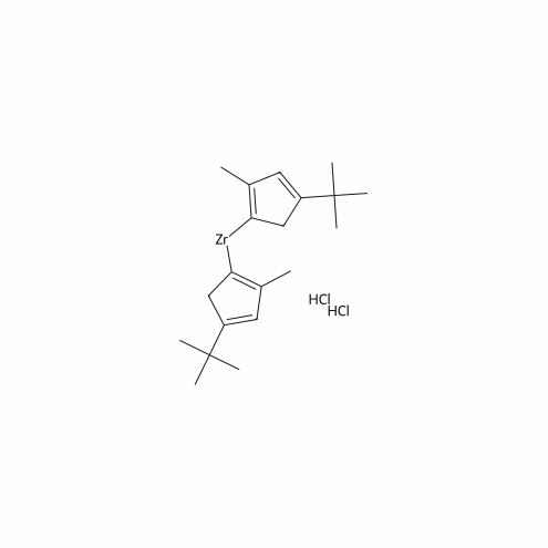 CC1=[C]([Zr][C]2=C(C)C=C(C(C)(C)C)C2)CC(C(C)(C)C)=C1.Cl.Cl